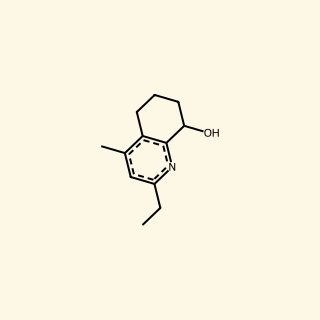 CCc1cc(C)c2c(n1)C(O)CCC2